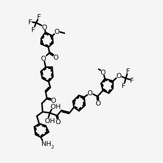 COc1cc(C(=O)Oc2ccc(/C=C/C(=O)CC(Cc3ccc(N)cc3)C(O)(O)C(=O)/C=C/c3ccc(OC(=O)c4ccc(OC(F)(F)F)c(OC)c4)cc3)cc2)ccc1OC(F)(F)F